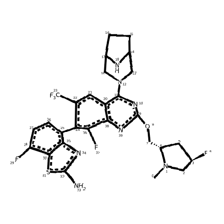 CN1C[C@H](F)C[C@H]1COc1nc(N2CC3CCC(C2)N3)c2cc(C(F)(F)F)c(-c3ccc(F)c4sc(N)nc34)c(F)c2n1